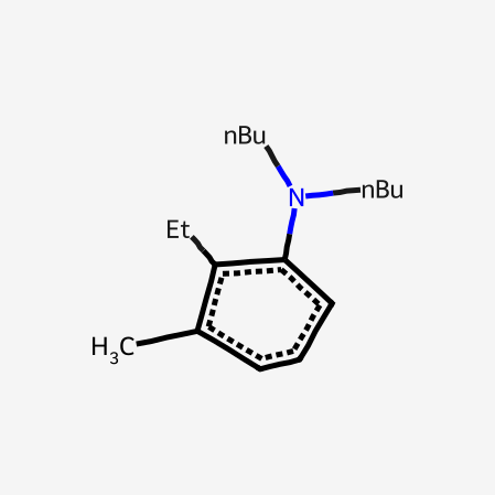 CCCCN(CCCC)c1cccc(C)c1CC